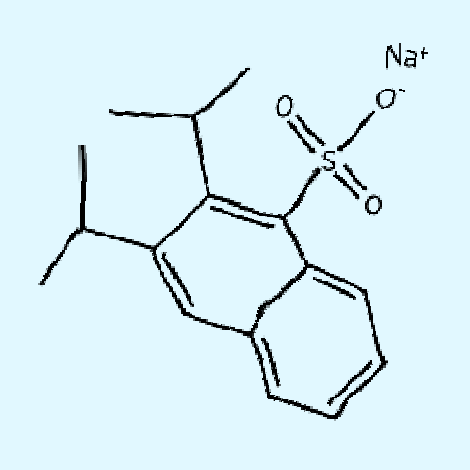 CC(C)c1cc2ccccc2c(S(=O)(=O)[O-])c1C(C)C.[Na+]